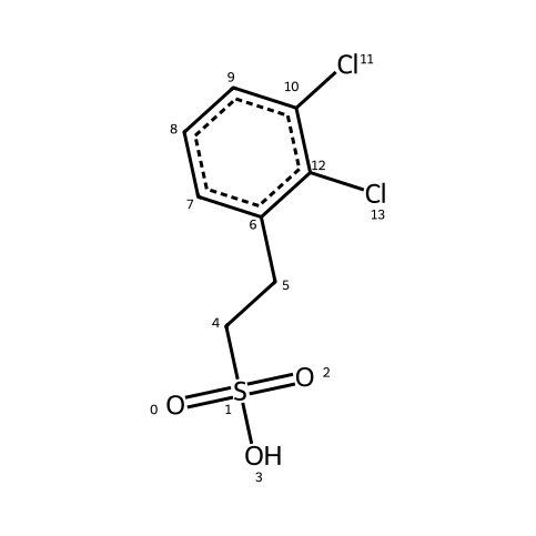 O=S(=O)(O)CCc1cccc(Cl)c1Cl